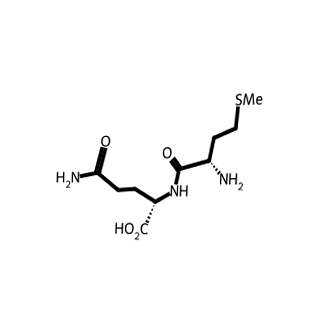 CSCC[C@H](N)C(=O)N[C@@H](CCC(N)=O)C(=O)O